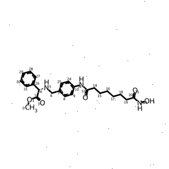 COC(=O)[C@@H](NCc1ccc(NC(=O)CCCCCCC(=O)NO)cc1)c1ccccc1